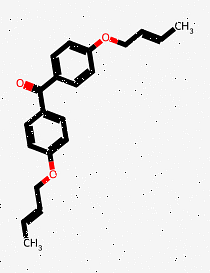 CC=CCOc1ccc(C(=O)c2ccc(OCC=CC)cc2)cc1